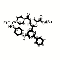 CCOC(=O)N1CCN(C(=O)[C@H](CCC(=O)OC(C)(C)C)NC(=O)c2cc(N[C@H]3CC[C@H](O)CC3)nc(-c3ccccc3)n2)CC1